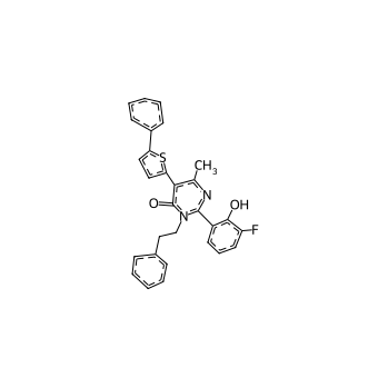 Cc1nc(-c2cccc(F)c2O)n(CCc2ccccc2)c(=O)c1-c1ccc(-c2ccccc2)s1